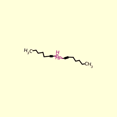 CCCCCC#CPPC#CCCCCC